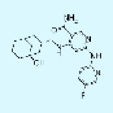 NC(=O)c1cnc(Nc2ccc(F)cn2)cc1NC[C@H]1CC2CCC[C@](O)(C2)C1